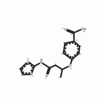 CC(CC(=O)Nc1nccs1)Oc1ccc(C(=O)O)cc1